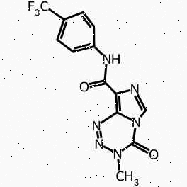 Cn1nnc2c(C(=O)Nc3ccc(C(F)(F)F)cc3)ncn2c1=O